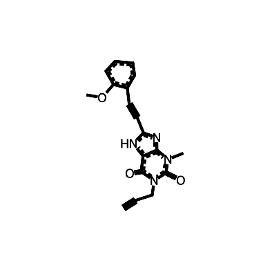 C#CCn1c(=O)c2[nH]c(C#Cc3ccccc3OC)nc2n(C)c1=O